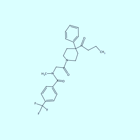 CCCC(=O)C1(c2ccccc2)CCN(C(=O)CN(C)C(=O)c2ccc(C(F)(F)F)cc2)CC1